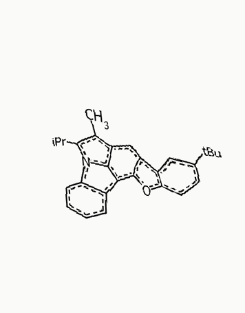 Cc1c(C(C)C)n2c3ccccc3c3c4oc5ccc(C(C)(C)C)cc5c4cc1c32